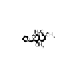 CCC(C)/C=C\C1=C(C)C(CN2CCCC2)OCC1